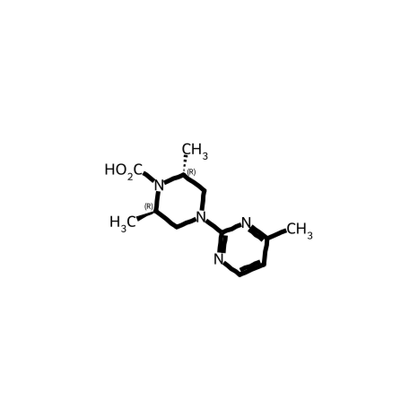 Cc1ccnc(N2C[C@@H](C)N(C(=O)O)[C@H](C)C2)n1